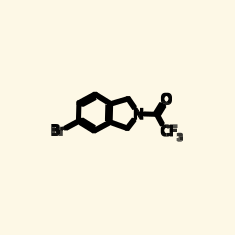 O=C(N1Cc2ccc(Br)cc2C1)C(F)(F)F